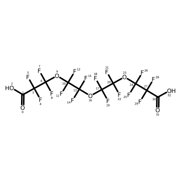 O=C(O)C(F)(F)C(F)(F)OC(F)(F)C(F)(F)OC(F)(F)C(F)(F)OC(F)(F)C(F)(F)C(=O)O